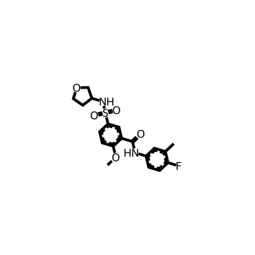 COc1ccc(S(=O)(=O)NC2CCOC2)cc1C(=O)Nc1ccc(F)c(C)c1